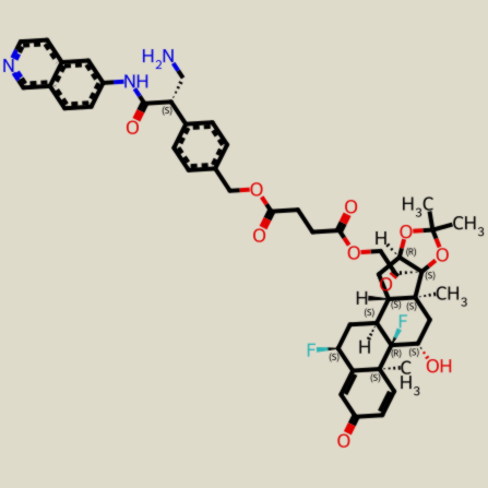 CC1(C)O[C@@H]2C[C@H]3[C@@H]4C[C@H](F)C5=CC(=O)C=C[C@]5(C)[C@@]4(F)[C@@H](O)C[C@]3(C)[C@]2(C(=O)COC(=O)CCC(=O)OCc2ccc([C@@H](CN)C(=O)Nc3ccc4cnccc4c3)cc2)O1